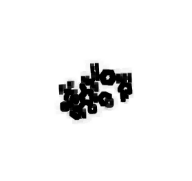 CN1CCC(Nc2ccc(Nc3ncc4cc(-c5nccn5S(=O)(=O)CC(F)(F)F)c(=O)n(C5CCOC5)c4n3)cc2)C1